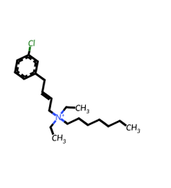 CCCCCCC[N+](CC)(CC)CC=CCc1cccc(Cl)c1